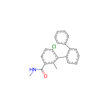 CNC(=O)c1ccc(Cl)c(-c2ccccc2-c2ccccc2)c1C